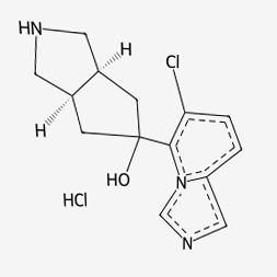 Cl.OC1(c2c(Cl)ccc3cncn23)C[C@H]2CNC[C@H]2C1